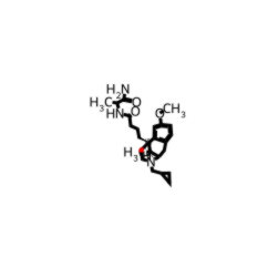 COc1ccc2c(c1)[C@@]1(CCCC(=O)NC(C)C(N)=O)CCN(CC3CC3)C(C2)[C@@H]1C